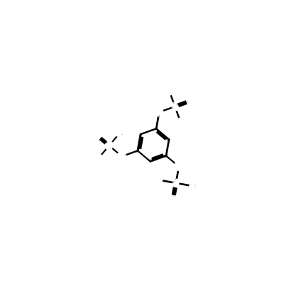 O=P(S)(S)Oc1cc(OP(=O)(S)S)cc(OP(=O)(S)S)c1